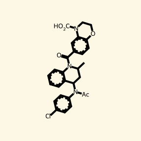 CC(=O)N(c1ccc(Cl)cc1)C1CC(C)N(C(=O)c2ccc3c(c2)N(C(=O)O)CCO3)c2ccccc21